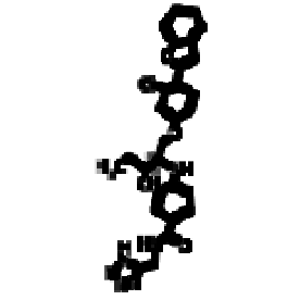 CC[C@H](C)[C@@H](COc1ccc(-c2cc3ccccc3o2)c(Cl)c1)Nc1ccc(C(=O)NCc2nnn[nH]2)cc1